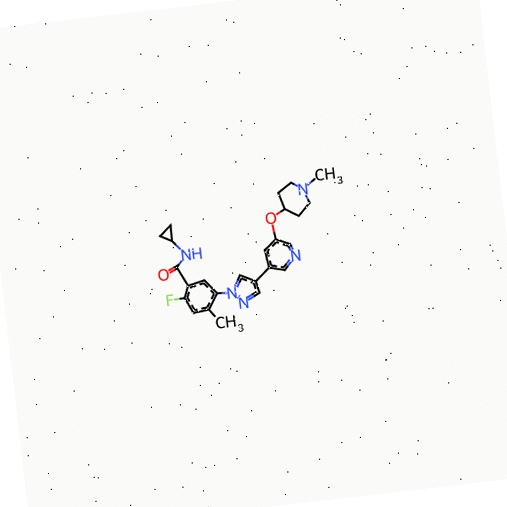 Cc1cc(F)c(C(=O)NC2CC2)cc1-n1cc(-c2cncc(OC3CCN(C)CC3)c2)cn1